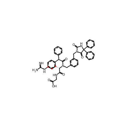 N=C(N)NCCC[C@@H](C(=O)NCC(=O)O)N(Cc1cccc(CN2C(=O)NC(c3ccccc3)(c3ccccc3)C2=O)c1)C(=O)C(c1ccccc1)c1ccccc1